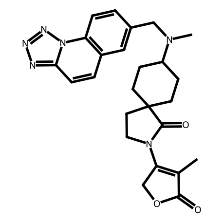 CC1=C(N2CCC3(CCC(N(C)Cc4ccc5c(ccc6nnnn65)c4)CC3)C2=O)COC1=O